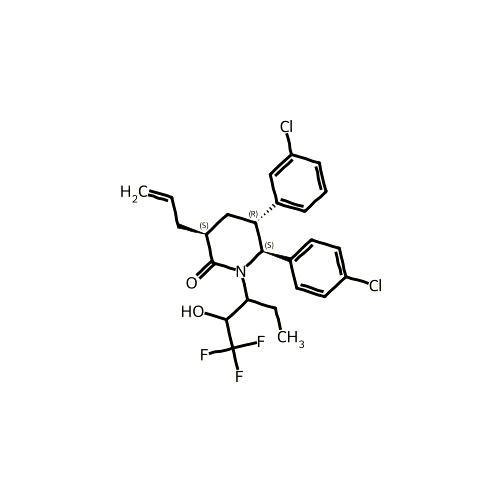 C=CC[C@H]1C[C@H](c2cccc(Cl)c2)[C@@H](c2ccc(Cl)cc2)N(C(CC)C(O)C(F)(F)F)C1=O